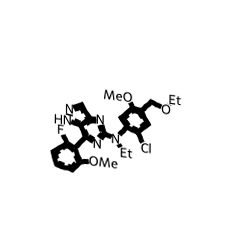 CCOCc1cc(Cl)c(N(CC)c2nc(-c3c(F)cccc3OC)c3[nH]ncc3n2)cc1OC